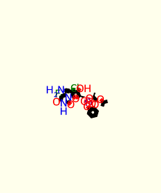 CC(C)OC(=O)[C@H](C)O[P@](=O)(OC[C@H]1OC(n2cc(F)c(=O)[nH]c2=O)C(Cl)(C#CN)C1O)Oc1ccccc1